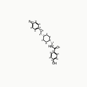 O=C(NC[C@H]1CC[C@@H](COc2ccc(F)cc2)CC1)c1ccc(O)cc1